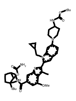 COc1cc(C(=O)N2CC3CCC2(C(C)(C)C)[C@@H]3OC(N)=O)cc2sc(-c3cc4ccc(N5CCC(NC(=O)OC(C)(C)C)CC5)cc4n3CC3CC3)c(C)c12